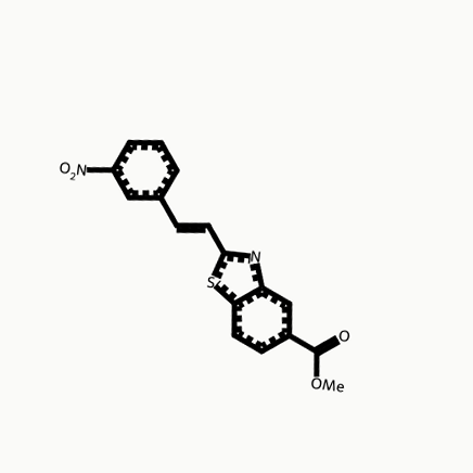 COC(=O)c1ccc2sc(/C=C/c3cccc([N+](=O)[O-])c3)nc2c1